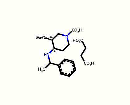 CO[C@H]1CN(C(=O)O)CC[C@H]1NC(C)c1ccccc1.O=C(O)CCC(=O)O